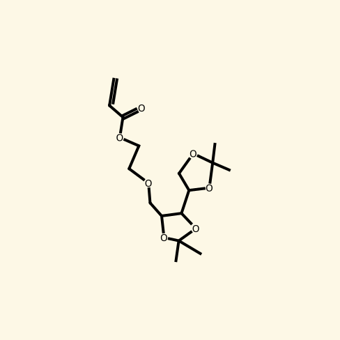 C=CC(=O)OCCOCC1OC(C)(C)OC1C1COC(C)(C)O1